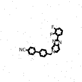 N#Cc1ccc(-c2ccc(Cn3ccc4nc(-c5cccc(F)c5F)nc-4c3)cc2)cc1